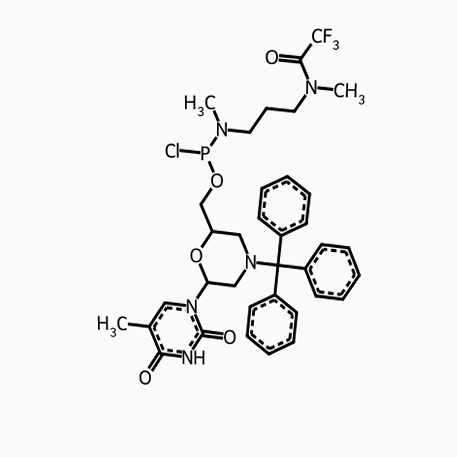 Cc1cn(C2CN(C(c3ccccc3)(c3ccccc3)c3ccccc3)CC(COP(Cl)N(C)CCCN(C)C(=O)C(F)(F)F)O2)c(=O)[nH]c1=O